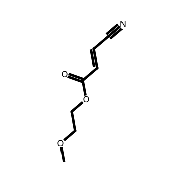 COCCOC(=O)C=CC#N